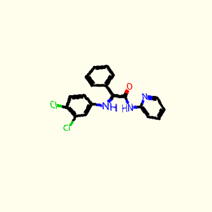 O=C(Nc1ccccn1)C(Nc1ccc(Cl)c(Cl)c1)c1ccccc1